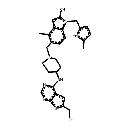 Cc1ccc(Cn2c(C#N)cc3c(C)c(CN4CCC(Nc5ncnc6sc(CC(F)(F)F)cc56)CC4)ccc32)[nH]1